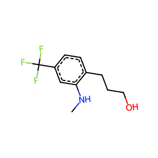 CNc1cc(C(F)(F)F)ccc1CCCO